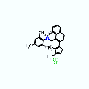 CC1=CCC(c2ccc3ccccc3c2C[N]([Ti+2])c2c(C)cc(C)cc2C)=C1C.[Cl-].[Cl-]